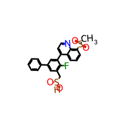 CS(=O)(=O)c1cccc2c(-c3cc(-c4ccccc4)cc(C[SH](=O)=O)c3F)ccnc12